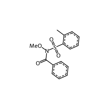 CON(C(=O)c1ccccc1)S(=O)(=O)c1ccccc1C